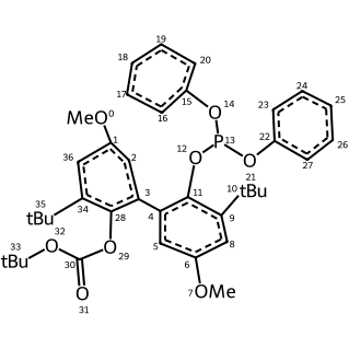 COc1cc(-c2cc(OC)cc(C(C)(C)C)c2OP(Oc2ccccc2)Oc2ccccc2)c(OC(=O)OC(C)(C)C)c(C(C)(C)C)c1